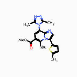 CCCCc1c(C(=O)OC)cc(-n2c(C)nnc2C)c2ncc(-c3ccc(C)s3)n12